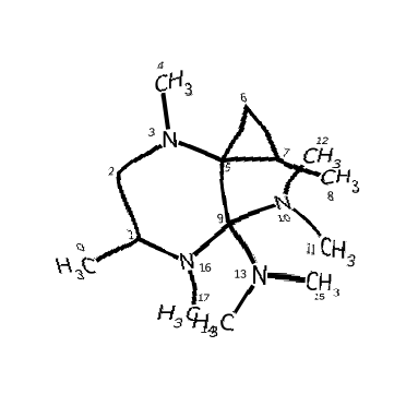 CC1CN(C)C2(CC2C)C(N(C)C)(N(C)C)N1C